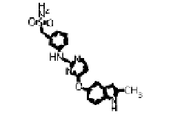 Cc1cc2cc(Oc3ccnc(Nc4cccc(CS(N)(=O)=O)c4)n3)ccc2[nH]1